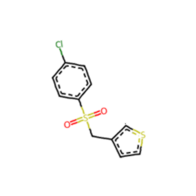 O=S(=O)(Cc1[c]scc1)c1ccc(Cl)cc1